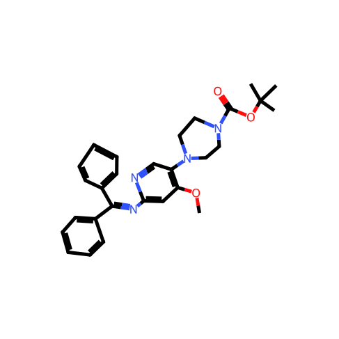 COc1cc(N=C(c2ccccc2)c2ccccc2)ncc1N1CCN(C(=O)OC(C)(C)C)CC1